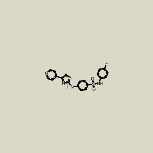 O=S(=O)(Nc1ccc(F)cc1)c1ccc(Nc2nc(-c3ccncc3)cs2)cc1